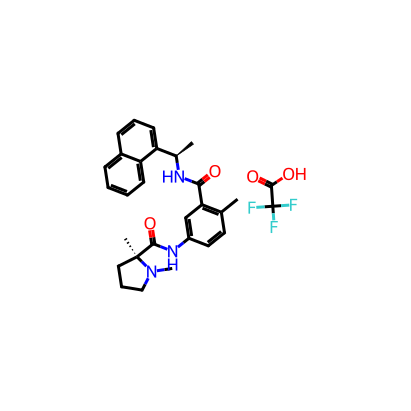 Cc1ccc(NC(=O)[C@]2(C)CCCN2C)cc1C(=O)N[C@H](C)c1cccc2ccccc12.O=C(O)C(F)(F)F